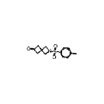 Cc1ccc(S(=O)(=O)N2CC3(CC(=O)C3)C2)cc1